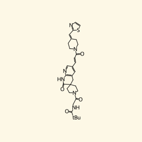 CC(C)(C)C(=O)NCC(=O)N1CCC2(CC1)Cc1cc(/C=C/C(=O)N3CCC(=Cc4nccs4)CC3)cnc1NC2=O